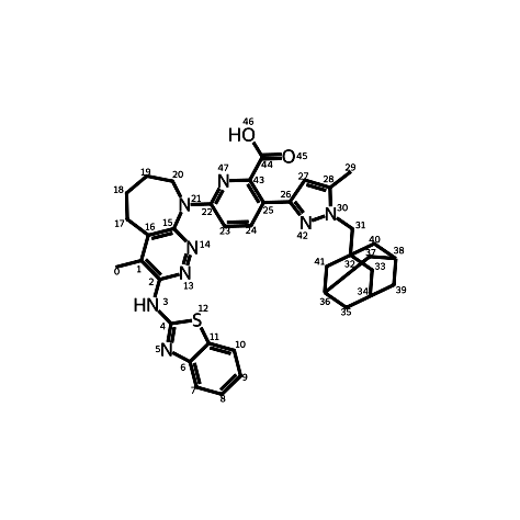 Cc1c(Nc2nc3ccccc3s2)nnc2c1CCCCN2c1ccc(-c2cc(C)n(CC34CC5CC(CC(C5)C3)C4)n2)c(C(=O)O)n1